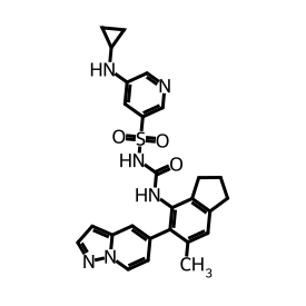 Cc1cc2c(c(NC(=O)NS(=O)(=O)c3cncc(NC4CC4)c3)c1-c1ccn3nccc3c1)CCC2